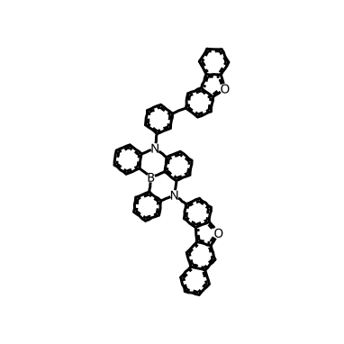 c1cc(-c2ccc3oc4ccccc4c3c2)cc(N2c3ccccc3B3c4ccccc4N(c4ccc5oc6cc7ccccc7cc6c5c4)c4cccc2c43)c1